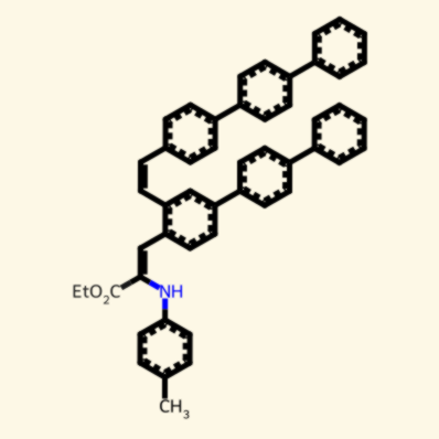 CCOC(=O)/C(=C/c1ccc(-c2ccc(-c3ccccc3)cc2)cc1/C=C\c1ccc(-c2ccc(-c3ccccc3)cc2)cc1)Nc1ccc(C)cc1